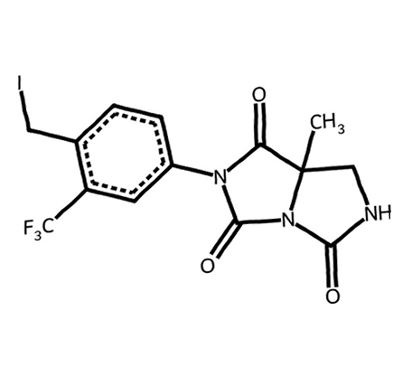 CC12CNC(=O)N1C(=O)N(c1ccc(CI)c(C(F)(F)F)c1)C2=O